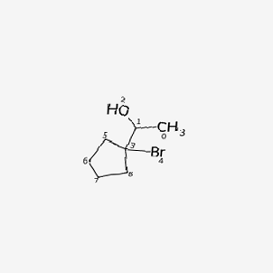 CC(O)C1(Br)CCCC1